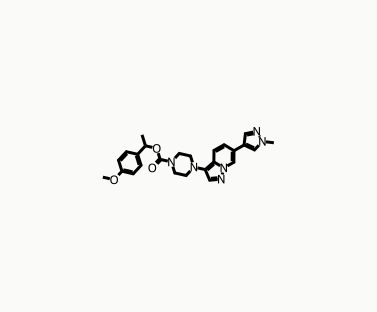 COc1ccc(C(C)OC(=O)N2CCN(c3cnn4cc(-c5cnn(C)c5)ccc34)CC2)cc1